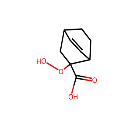 O=C(O)C1(OO)CC2C=CC1CC2